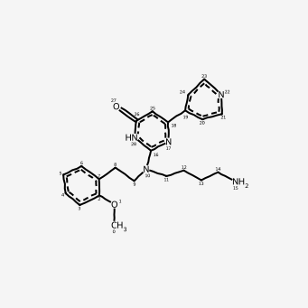 COc1ccccc1CCN(CCCCN)c1nc(-c2ccncc2)cc(=O)[nH]1